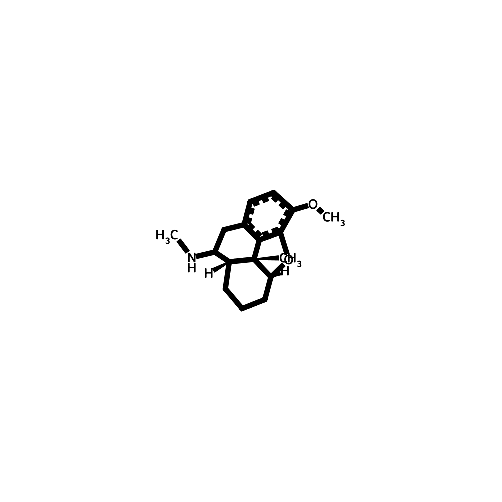 CNC1Cc2ccc(OC)c3c2[C@@]2(C)[C@@H]1CCC[C@H]2O3